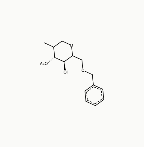 CC(=O)O[C@@H]1C(C)COC(COCc2ccccc2)[C@H]1O